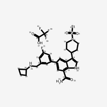 CCS(=O)(=O)N1CCC(c2c[nH]c3c(C(N)=O)cc(-c4cc(F)cc(CNC5CCC5)c4)cc23)CC1.O=C(O)C(F)(F)F